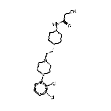 N#CCC(=O)N[C@H]1CC[C@H](CCN2CCN(c3cccc(Cl)c3Cl)CC2)CC1